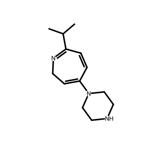 CC(C)C1=NCC=C(N2CCNCC2)C=C1